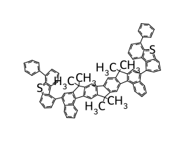 CC1(C)c2cc3c(cc2-c2cc4c(cc21)-c1c(cc(-c2cccc5sc6c(-c7ccccc7)cccc6c25)c2ccccc12)C4(C)C)C(C)(C)c1cc(-c2cccc4sc5c(-c6ccccc6)cccc5c24)c2ccccc2c1-3